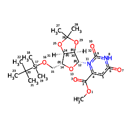 COC(=O)c1cc(=O)[nH]c(=O)n1[C@@H]1O[C@H](CO[Si](C)(C)C(C)(C)C)[C@H]2OC(C)(C)O[C@H]21